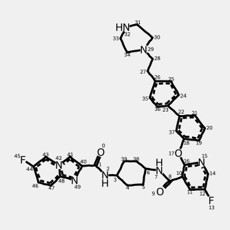 O=C(NC1CCC(NC(=O)c2cc(F)cnc2Oc2cccc(-c3ccc(CCN4CCNCC4)cc3)c2)CC1)c1cn2cc(F)ccc2n1